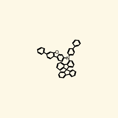 c1ccc(-c2ccc(N(c3ccc4c(c3)oc3cc(-c5ccccc5)ccc34)c3cccc4c3-c3ccccc3C43c4ccccc4-c4ccccc43)cc2)cc1